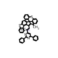 C=CC1=C(/C=C(\C)c2cc(-c3ccccc3)nc(-c3ccccc3)n2)c2c(ccc3sc4ccccc4c23)C12c1ccccc1Sc1ccccc12